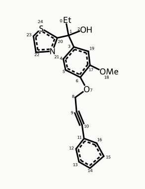 CCC(O)(c1ccc(OCC#Cc2ccccc2)c(OC)c1)c1nccs1